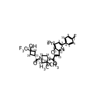 CC(C)c1cc(-c2ccc(F)cc2)nc2cc(C(=O)N3CCN(C(=O)[C@H]4C[C@](O)(C(F)(F)F)C4)CC3(C)C)oc12